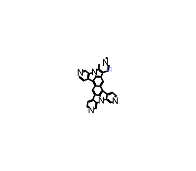 C=N/C=C\c1c(C)n2c3cnccc3c3c4cc5c6ccncc6n6c7cnccc7c(c4cc1c32)c56